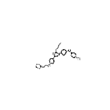 CCCCc1nc(-c2ccc(OCCN3CCCC3)cc2)cn1-c1ccc(Oc2ccc(Cl)cc2)cc1